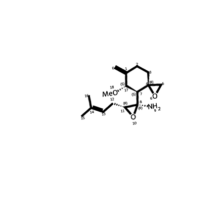 C=C1CC[C@]2(CO2)[C@@H]([C@@]2(N)O[C@@H]2CC=C(C)C)[C@@H]1OC